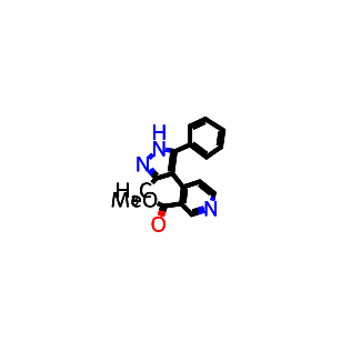 COC(=O)c1cnccc1-c1c(C)n[nH]c1-c1ccccc1